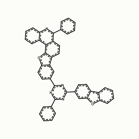 c1ccc(-c2nc(-c3ccc4c(c3)oc3ccccc34)nc(-c3ccc4oc5c(ccc6c(-c7ccccc7)nc7ccccc7c65)c4c3)n2)cc1